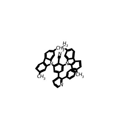 Cc1ccc2c3ccc(C)cc3n(-c3cc(-c4cccnc4-c4ccccc4)cc(-n4c5cc(C)ccc5c5ccc(C)cc54)c3C#N)c2c1